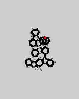 CC12Cc3c(n(-c4cccc([Si](c5ccccc5)(c5ccccc5)c5cccc6c7ccccc7n(-c7ccccc7)c56)c4)c4ccccc34)C=C1c1ccccc1S2